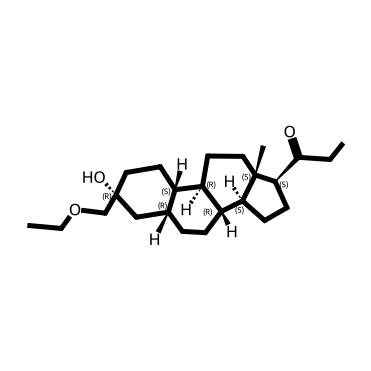 CCOC[C@@]1(O)CC[C@H]2[C@H](CC[C@@H]3[C@@H]2CC[C@]2(C)[C@@H](C(=O)CC)CC[C@@H]32)C1